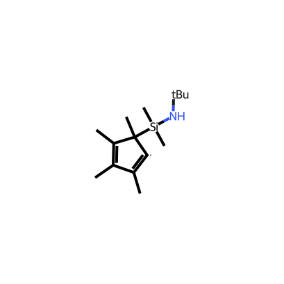 CC1=[C]C(C)([Si](C)(C)NC(C)(C)C)C(C)=C1C